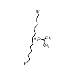 BrCCCCCCCCCCCBr.CN(C)C